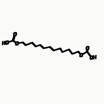 O=C(O)OCCCCCCCCCCCCCOC(=O)O